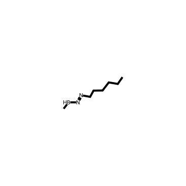 CBN=NCCCCCC